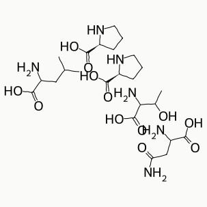 CC(C)CC(N)C(=O)O.CC(O)C(N)C(=O)O.NC(=O)CC(N)C(=O)O.O=C(O)[C@@H]1CCCN1.O=C(O)[C@@H]1CCCN1